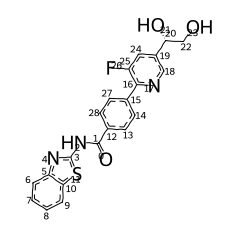 O=C(Nc1nc2ccccc2s1)c1ccc(-c2ncc([C@H](O)CO)cc2F)cc1